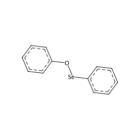 c1ccc(O[Se]c2ccccc2)cc1